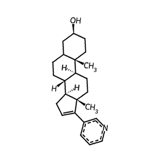 C[C@]12CC[C@H](O)CC1CC[C@@H]1[C@@H]2CC[C@]2(C)C(c3cccnc3)=CC[C@@H]12